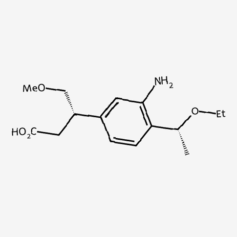 CCO[C@H](C)c1ccc([C@@H](COC)CC(=O)O)cc1N